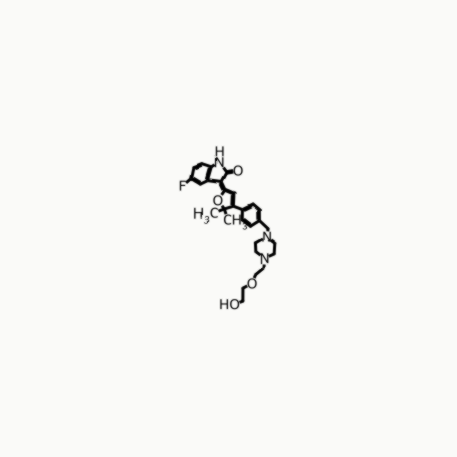 CC1(C)O/C(=C2/C(=O)Nc3ccc(F)cc32)C=C1c1ccc(CN2CCN(CCOCCO)CC2)cc1